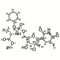 CC(C)OC(=O)C(C)NP(=O)(OC[C@H]1O[C@@H](n2cc(F)c(=O)[nH]c2=O)[C@](F)(Cl)[C@@H]1O)Oc1ccccc1